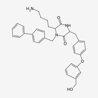 NCCCCC1C(=O)NC(Cc2ccc(Oc3cccc(CO)c3)cc2)C(=O)N1Cc1ccc(-c2ccccc2)cc1